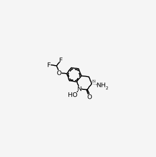 N[C@H]1Cc2ccc(OC(F)F)cc2N(O)C1=O